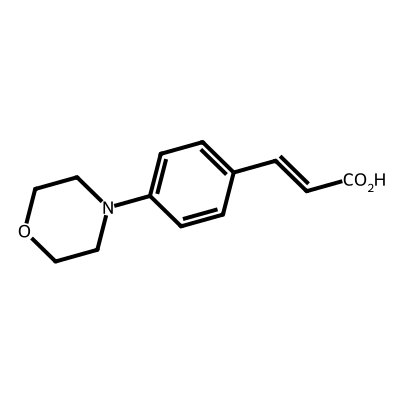 O=C(O)C=Cc1ccc(N2CCOCC2)cc1